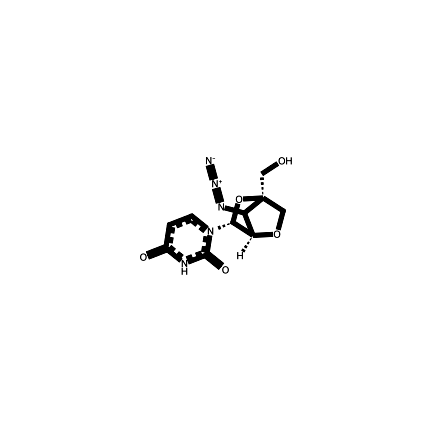 [N-]=[N+]=NC1[C@H]2OC[C@]1(CO)O[C@H]2n1ccc(=O)[nH]c1=O